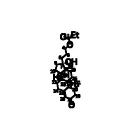 CCC(=O)OCCC[C@]1(O)CC[C@H]2[C@@H]3CCC4=CC(=O)C[C@H](C)[C@]4(C)[C@H]3CC[C@@]21C